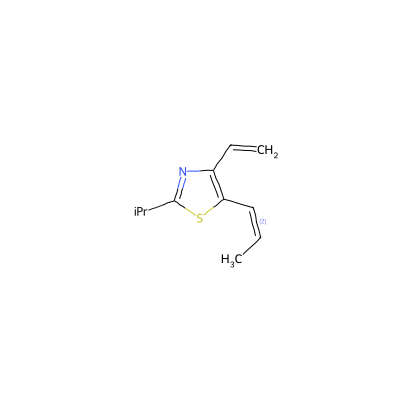 C=Cc1nc(C(C)C)sc1/C=C\C